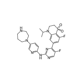 CC(C)N1CCS(=O)(=O)c2c(F)cc(-c3nc(Nc4ccc(N5CCCNCC5)cn4)ncc3F)cc21